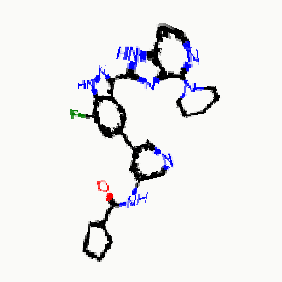 O=C(Nc1cncc(-c2cc(F)c3[nH]nc(-c4nc5c(N6CCCCC6)nccc5[nH]4)c3c2)c1)C1CCCC1